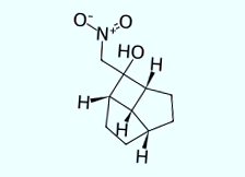 O=[N+]([O-])CC1(O)[C@@H]2CC[C@@H]3CC[C@H]1[C@@H]32